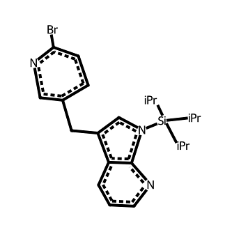 CC(C)[Si](C(C)C)(C(C)C)n1cc(Cc2ccc(Br)nc2)c2cccnc21